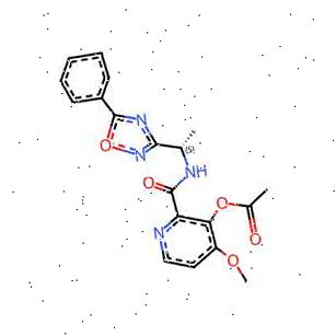 COc1ccnc(C(=O)N[C@@H](C)c2noc(-c3ccccc3)n2)c1OC(C)=O